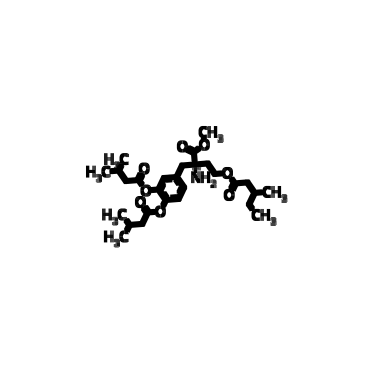 CCC(C)CC(=O)OCC[C@@](N)(Cc1ccc(OC(=O)CC(C)C)c(OC(=O)CC(C)C)c1)C(=O)OC